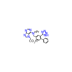 CCCN(Cc1ccc(-c2ccccc2)c(-c2nnn[nH]2)c1)c1ncnc2ncn(CC(=O)O)c12